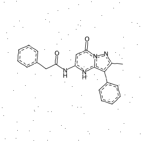 Cc1nn2c(=O)cc(NC(=O)Cc3ccccc3)[nH]c2c1-c1ccccc1